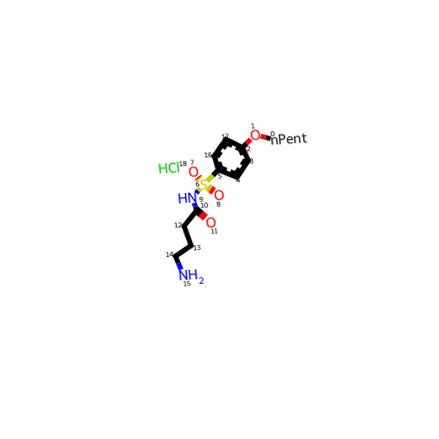 CCCCCOc1ccc(S(=O)(=O)NC(=O)CCCN)cc1.Cl